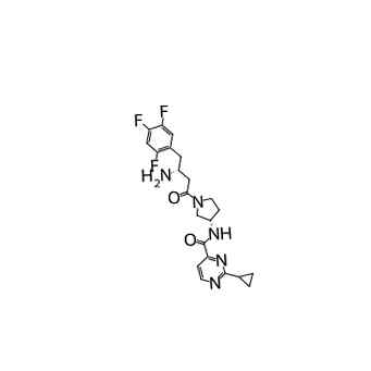 N[C@@H](CC(=O)N1CC[C@H](NC(=O)c2ccnc(C3CC3)n2)C1)Cc1cc(F)c(F)cc1F